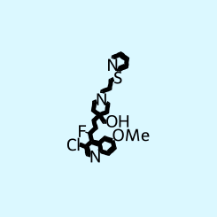 COc1ccc2ncc(Cl)c([C@H](F)CCC3(CO)CCN(CCCSc4ccccn4)CC3)c2c1